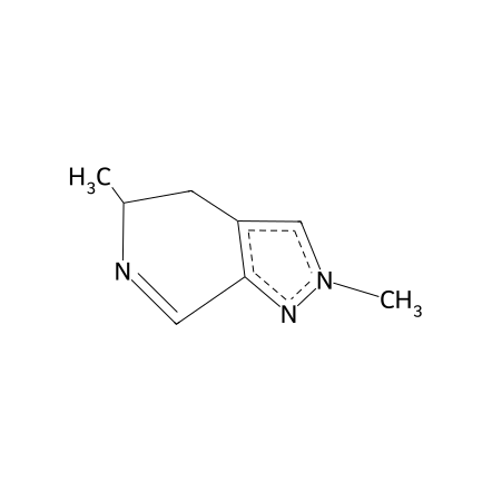 CC1Cc2cn(C)nc2C=N1